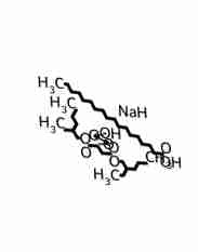 CCCCC(CC)COC(=O)CC(C(=O)OCC(CC)CCCC)S(=O)(=O)O.CCCCCCCCCCCCCCCCCC(=O)O.[NaH]